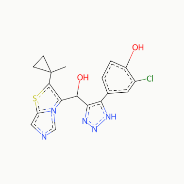 CC1(c2sc3cncn3c2C(O)c2nn[nH]c2-c2ccc(O)c(Cl)c2)CC1